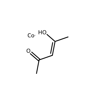 CC(=O)C=C(C)O.[Co]